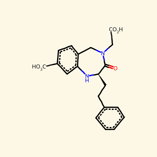 O=C(O)CN1Cc2ccc(C(=O)O)cc2N[C@H](CCc2ccccc2)C1=O